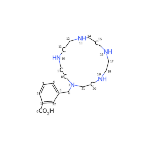 O=C(O)c1cccc(CN2CCNCCNCCNCCNCC2)c1